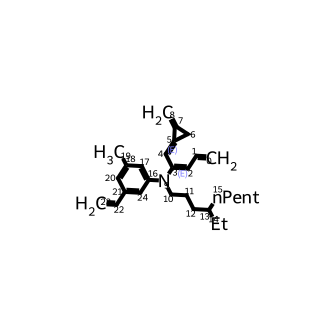 C=C/C=C(\C=C1/CC1=C)N(CCCC(CC)CCCCC)c1cc(C)cc(C=C)c1